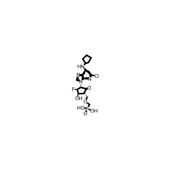 O=C1[C@@H](n2cnc3c(NC4CCCC4)cc(Cl)nc32)[C@H](F)[C@H](O)[C@H]1COCP(=O)(O)O